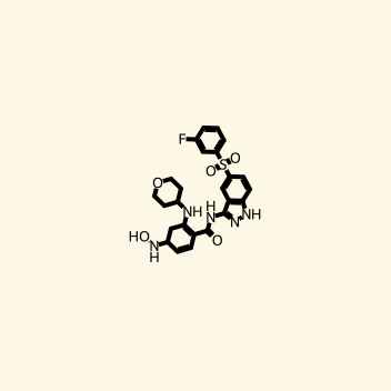 O=C(Nc1n[nH]c2ccc(S(=O)(=O)c3cccc(F)c3)cc12)C1=C(NC2CCOCC2)CC(NO)C=C1